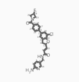 Nc1ccc(CNC(=O)C=CC2Cc3cc(-c4ccc(C(=O)N5CC(F)C5)cc4)cc(Cl)c3O2)cn1